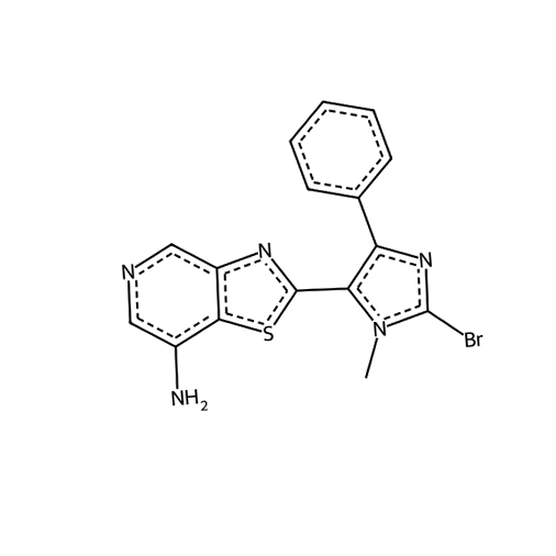 Cn1c(Br)nc(-c2ccccc2)c1-c1nc2cncc(N)c2s1